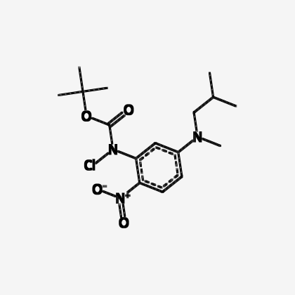 CC(C)CN(C)c1ccc([N+](=O)[O-])c(N(Cl)C(=O)OC(C)(C)C)c1